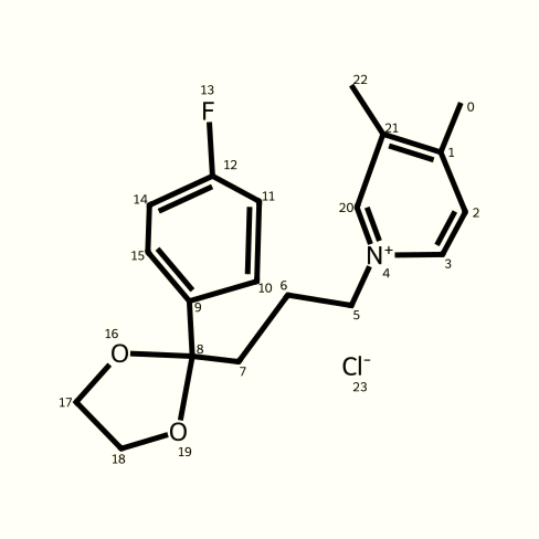 Cc1cc[n+](CCCC2(c3ccc(F)cc3)OCCO2)cc1C.[Cl-]